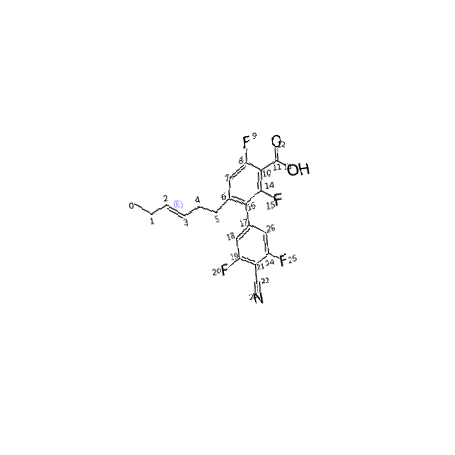 CC/C=C/CCc1cc(F)c(C(=O)O)c(F)c1-c1cc(F)c(C#N)c(F)c1